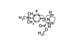 COC(=O)[C@H]1[C@@H](c2cc[c]([Sn]([CH3])([CH3])[CH3])cc2)C[C@@H]2CC[C@H]1N2CCCF